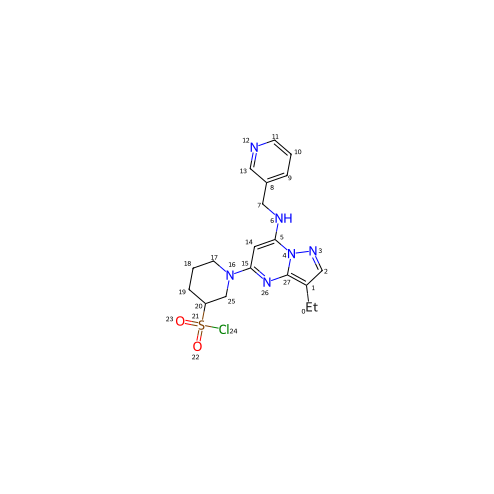 CCc1cnn2c(NCc3cccnc3)cc(N3CCCC(S(=O)(=O)Cl)C3)nc12